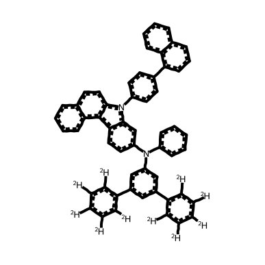 [2H]c1c([2H])c([2H])c(-c2cc(-c3c([2H])c([2H])c([2H])c([2H])c3[2H])cc(N(c3ccccc3)c3ccc4c5c6ccccc6ccc5n(-c5ccc(-c6cccc7ccccc67)cc5)c4c3)c2)c([2H])c1[2H]